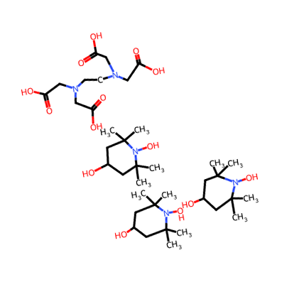 CC1(C)CC(O)CC(C)(C)N1O.CC1(C)CC(O)CC(C)(C)N1O.CC1(C)CC(O)CC(C)(C)N1O.O=C(O)CN(CCN(CC(=O)O)CC(=O)O)CC(=O)O